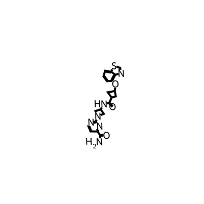 NC(=O)c1ccnc(N2CC(NC(=O)C3CC(Oc4cccc5scnc45)C3)C2)n1